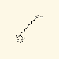 CCCCCCCCCCCCCCCCC(=O)O[N+](=O)[O-]